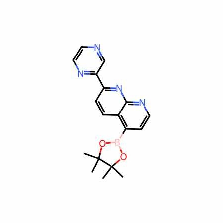 CC1(C)OB(c2ccnc3nc(-c4cnccn4)ccc23)OC1(C)C